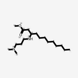 CCCCCCCCCC(CC(=O)OC)NCCCN(C)C